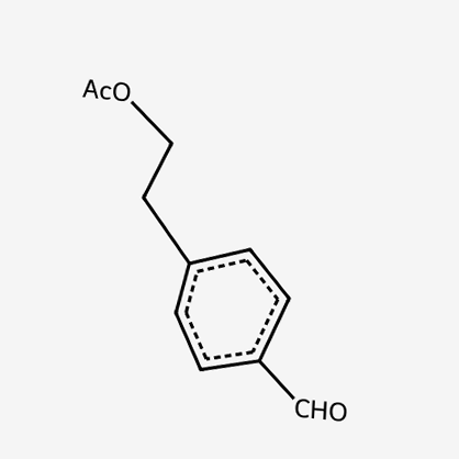 CC(=O)OCCc1ccc(C=O)cc1